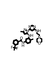 Cc1cc(Nc2cc(NC(=O)c3cccc(C(C)(F)F)c3)ccc2C)n(-c2cc(NCCN3CCOCC3)ncn2)n1